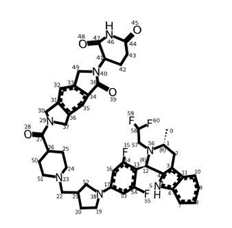 C[C@@H]1Cc2c([nH]c3ccccc23)[C@@H](c2c(F)cc(N3CCC(CN4CCC(C(=O)N5Cc6cc7c(cc6C5)C(=O)N(C5CCC(=O)NC5=O)C7)CC4)C3)cc2F)N1CC(F)F